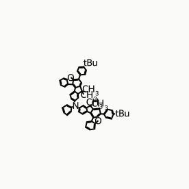 CC(C)(C)c1ccc(-c2cc3c(c4c2oc2ccccc24)-c2ccc(N(c4ccccc4)c4ccc5c(c4)C(C)(C)c4cc(-c6ccc(C(C)(C)C)cc6)c6oc7ccccc7c6c4-5)cc2C3(C)C)cc1